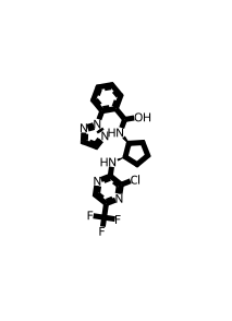 OC(N[C@H]1CCC[C@@H]1Nc1ncc(C(F)(F)F)nc1Cl)c1ccccc1-n1nccn1